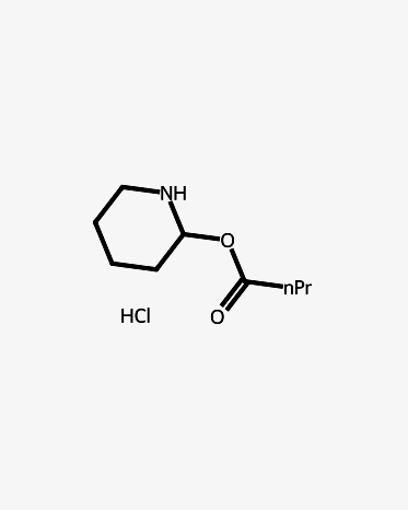 CCCC(=O)OC1CCCCN1.Cl